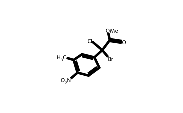 COC(=O)C(Cl)(Br)c1ccc([N+](=O)[O-])c(C)c1